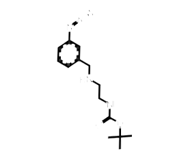 CC(C)(C)OC(=O)NCCNCc1cccc(N=[N+]=[N-])c1